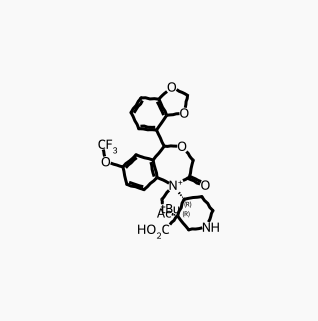 CC(=O)[C@@]1(C(=O)O)CNCC[C@H]1[N+]1(CC(C)(C)C)C(=O)COC(c2cccc3c2OCO3)c2cc(OC(F)(F)F)ccc21